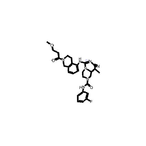 COCCC(=O)N1CCc2c(cccc2N/C(=N/C#N)N2CCN(C(=O)Nc3cccc(F)c3)CC2C(C)C)C1